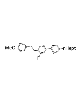 CCCCCCCc1ccc(-c2ccc(CCc3ccc(OC)cc3)c(F)c2)cc1